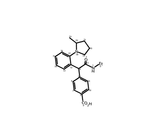 CCNC(=O)C(c1ccc(C(=O)O)cc1)c1ccccc1N1CCCC1C